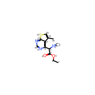 [C-]#[N+]C(C(=O)OCC)c1ncnc2scc(C)c12